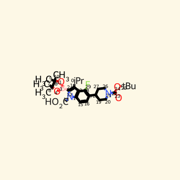 CC(C)c1c(B2OC(C)(C)C(C)(C)O2)n(C(=O)O)c2ccc(C3CCN(C(=O)OC(C)(C)C)CC3)c(F)c12